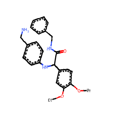 CCOc1cc(C(Nc2ccc(CN)cc2)C(=O)NCc2ccccc2)ccc1OC(C)C